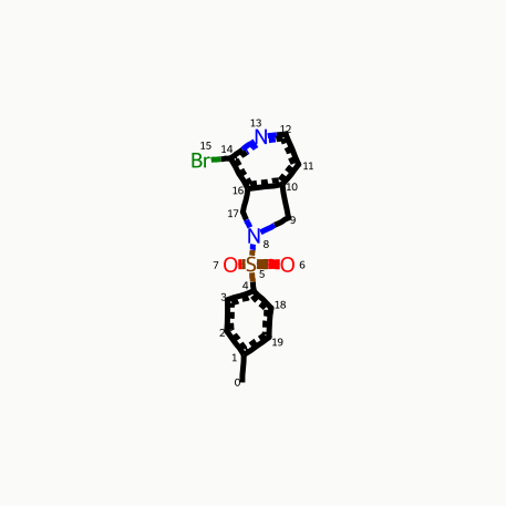 Cc1ccc(S(=O)(=O)N2Cc3ccnc(Br)c3C2)cc1